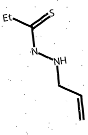 C=CCN[N]C(=S)CC